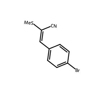 CSC(C#N)=Cc1ccc(Br)cc1